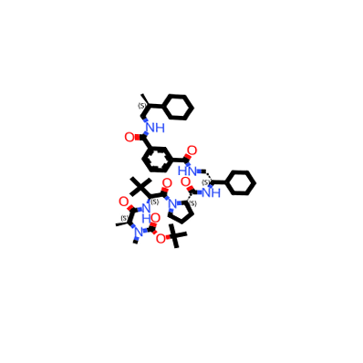 C[C@H](CNC(=O)c1cccc(C(=O)NC[C@@H](NC(=O)[C@@H]2CCCN2C(=O)[C@@H](NC(=O)[C@H](C)N(C)C(=O)OC(C)(C)C)C(C)(C)C)C2CCCCC2)c1)C1CCCCC1